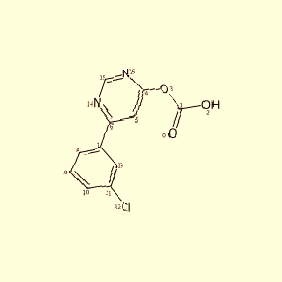 O=C(O)Oc1cc(-c2cccc(Cl)c2)ncn1